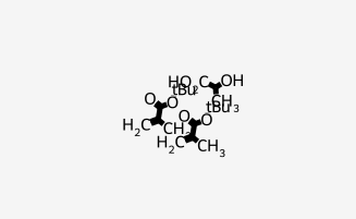 C=C(C)C(=O)OC(C)(C)C.C=C(C)C(=O)OC(C)(C)C.CC(O)C(=O)O